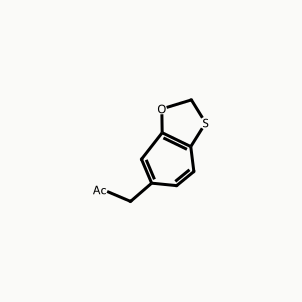 CC(=O)Cc1ccc2c(c1)OCS2